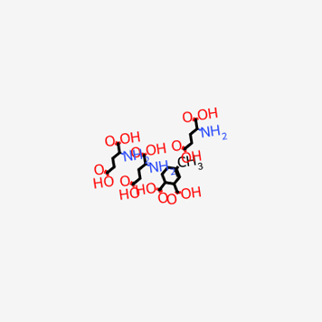 CC1=CC(C(=O)O)C(C(=O)O)CC1.N[C@@H](CCC(=O)O)C(=O)O.N[C@@H](CCC(=O)O)C(=O)O.N[C@@H](CCC(=O)O)C(=O)O